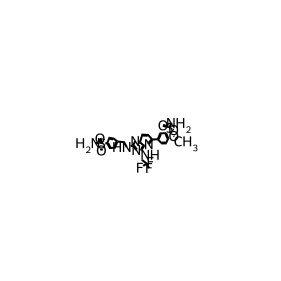 COc1ccc(-c2ccc3nc(NCc4ccc(S(N)(=O)=O)cc4)nc(NCC(F)(F)F)c3n2)cc1S(N)(=O)=O